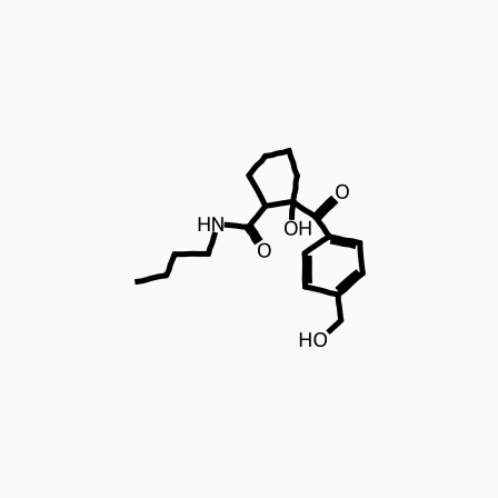 CCCCNC(=O)C1CCCCC1(O)C(=O)c1ccc(CO)cc1